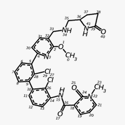 COc1nc(-c2cccc(-c3cccc(NC(=O)c4cccn(C)c4=O)c3Cl)c2Cl)ccc1CNCC1CCC(=O)N1